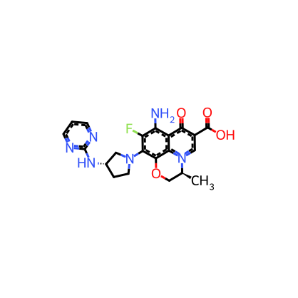 C[C@H]1COc2c(N3CC[C@H](Nc4ncccn4)C3)c(F)c(N)c3c(=O)c(C(=O)O)cn1c23